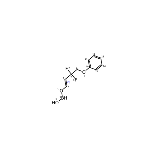 OBO/C=C/C(F)(F)COc1ccccc1